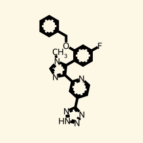 Cn1cnc(-c2cc(-c3nn[nH]n3)ccn2)c1-c1ccc(F)cc1OCc1ccccc1